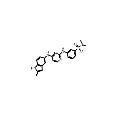 Cc1cc2cc(Nc3ccnc(Nc4cccc(S(=O)(=O)N(C)C)c4)n3)ccc2[nH]1